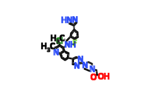 Cc1nc2ccc(-c3cnc(N4CCN(CC(=O)O)CC4)nc3)cc2c(N[C@H](C)c2cc(-c3cn[nH]c3)ccc2F)c1Cl